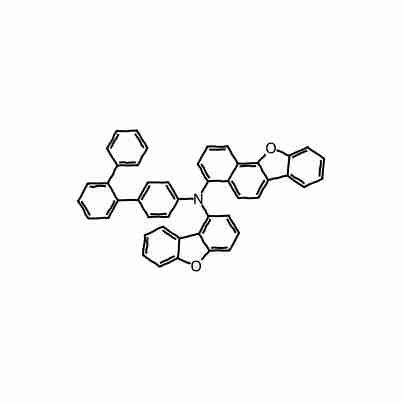 c1ccc(-c2ccccc2-c2ccc(N(c3cccc4c3ccc3c5ccccc5oc43)c3cccc4oc5ccccc5c34)cc2)cc1